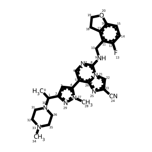 CC(c1cc(-c2cnc(NCc3c(F)ccc4c3CCO4)n3cc(C#N)nc23)n(C)n1)N1CCN(C)CC1